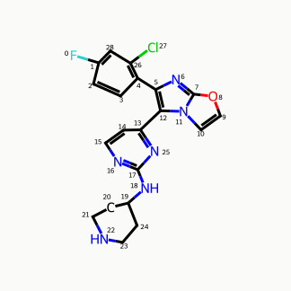 Fc1ccc(-c2nc3occn3c2-c2ccnc(NC3CCNCC3)n2)c(Cl)c1